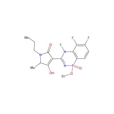 CCOP1(=O)N=C(C2=C(O)C(C(C)(C)C)N(CCC(C)(C)C)C2=O)N(F)c2c1ccc(F)c2F